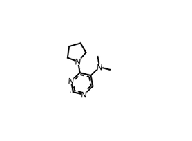 CN(C)c1cn[c]nc1N1CCCC1